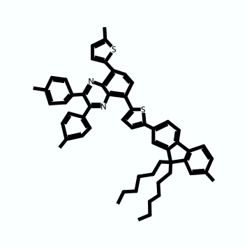 CCCCCCC1(CCCCCC)c2cc(C)ccc2-c2ccc(-c3ccc(-c4ccc(-c5ccc(C)s5)c5nc(-c6ccc(C)cc6)c(-c6ccc(C)cc6)nc45)s3)cc21